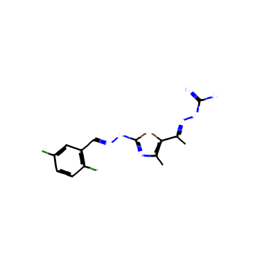 CC(=NNC(=N)N)c1sc(NN=Cc2cc(F)ccc2F)nc1C